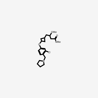 CNC(=O)CC(CC1CC(Oc2ccc(CN3CCCC3)c(Cl)c2)C1)OC